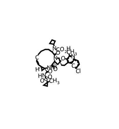 Cc1nc2ccc(Cl)cc2c2c1O[C@]1(CC2)C[C@H]2C(=O)N[C@]3(C(=O)NS(=O)(=O)C4(C)CC4)C[C@H]3/C=C\CCCCC[C@H](N(C(=O)O)C3CCC3)C(=O)N2C1